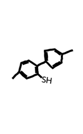 Cc1ccc(-c2ccc(C)cc2S)cc1